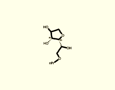 CCCOCC(O)[C@H]1OCC(O)[C@H]1O